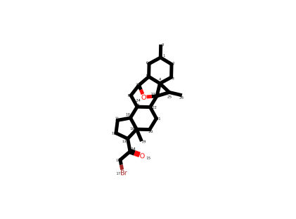 CC1CCC23C(C1)C1CC4C5CCC(C(=O)CBr)C5(C)CCC4C2(O1)C3C